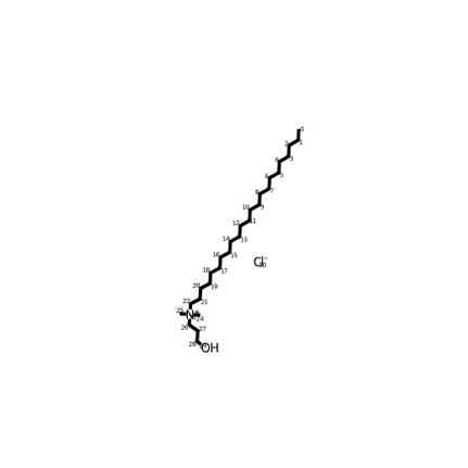 CCCCCCCCCCCCCCCCCCCCCCC[N+](C)(C)CCCO.[Cl-]